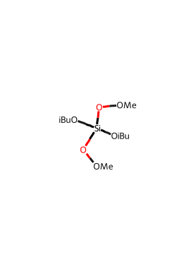 COO[Si](OCC(C)C)(OCC(C)C)OOC